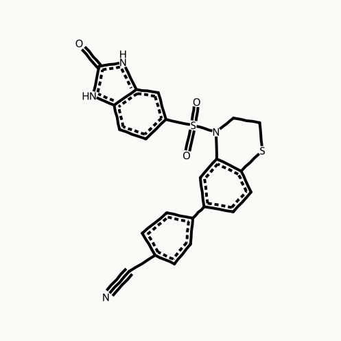 N#Cc1ccc(-c2ccc3c(c2)N(S(=O)(=O)c2ccc4[nH]c(=O)[nH]c4c2)CCS3)cc1